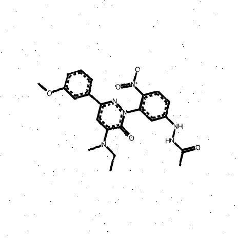 CCN(C)c1cc(-c2cccc(OC)c2)nn(-c2cc(NNC(C)=O)ccc2[N+](=O)[O-])c1=O